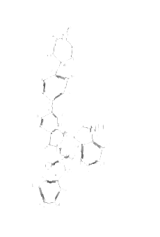 CN1CCC(c2ccc(-c3ccc4c(c3)[C@H](C3CNc5ccccc53)N(S(=O)(=O)Cc3ccccc3)C4)cc2)CC1